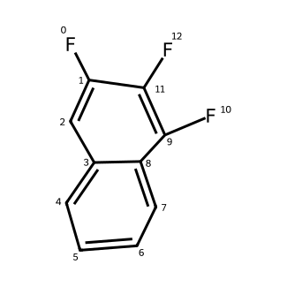 Fc1cc2ccccc2c(F)c1F